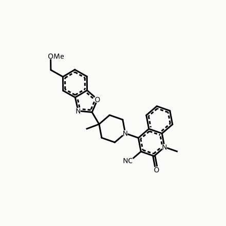 COCc1ccc2oc(C3(C)CCN(c4c(C#N)c(=O)n(C)c5ccccc45)CC3)nc2c1